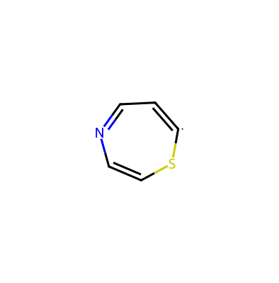 [C]1=CC=NC=CS1